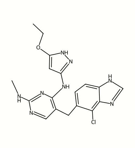 CCOc1cc(Nc2nc(NC)ncc2Cc2ccc3[nH]cnc3c2Cl)n[nH]1